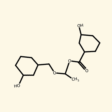 CC(OCC1CCCC(O)C1)OC(=O)C1CCCC(O)C1